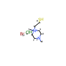 CN1CC[N+](C)(CCS)CC1.Cl.[Br-]